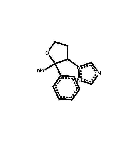 CCCC1(c2ccccc2)OCCC1n1cncn1